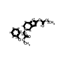 COC(=O)Oc1cc2c(s1)CCN([C@H](C(=O)OC)c1ccccc1Cl)C2